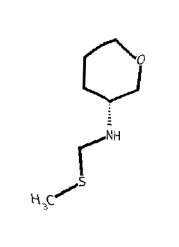 CSCN[C@@H]1CCCOC1